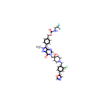 Cn1nc2c(=O)n(CC3(O)CCN(Cc4ccc(-c5cnco5)cc4Cl)CC3)cnc2c1-c1ccc(COC(=O)NCC(F)F)cc1